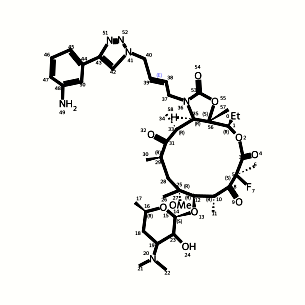 CC[C@H]1OC(=O)[C@@](C)(F)C(=O)[C@H](C)[C@@H](O[C@@H]2O[C@H](C)CC(N(C)C)C2O)[C@](C)(OC)C[C@@H](C)C(=O)[C@H](C)[C@H]2N(C/C=C/Cn3cc(-c4cccc(N)c4)nn3)C(=O)O[C@]12C